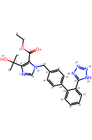 CCOC(=O)c1c(C(C)(C)O)ncn1Cc1ccc(-c2ccccc2-c2nnn[nH]2)cc1